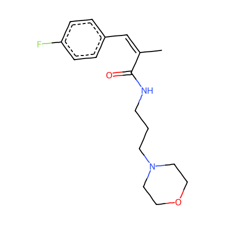 CC(=Cc1ccc(F)cc1)C(=O)NCCCN1CCOCC1